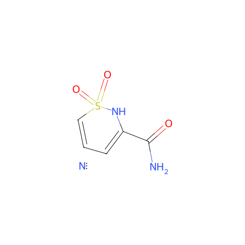 NC(=O)C1=CC=CS(=O)(=O)N1.[N]